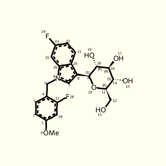 COc1ccc(Cn2cc([C@@H]3O[C@H](CO)[C@@H](O)[C@H](O)[C@H]3O)c3ccc(F)cc32)c(F)c1